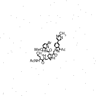 C=CC[C@H](NC(C)=O)C(=O)NC[C@@]12C[C@@H](C(=O)Nc3nc(Br)ccc3OC)N(C(=O)Cn3nc(C(C)=O)c4cc(-c5cnc(C)nc5)ccc43)[C@@H]1C2